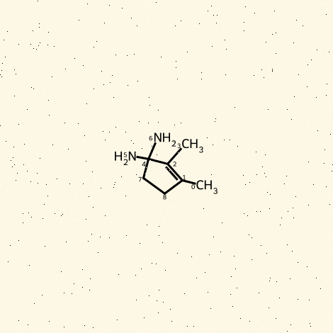 CC1=C(C)C(N)(N)CC1